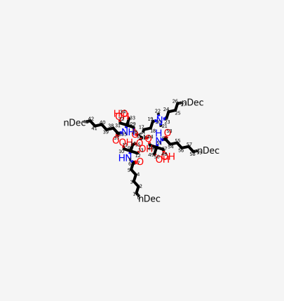 CCCCCCCCCCCCCCCC(=O)NC(CO)(CO)CO[Si](CCC[N+](C)(C)CCCCCCCCCCCCCC)(OCC(CO)(CO)NC(=O)CCCCCCCCCCCCCCC)OCC(CO)(CO)NC(=O)CCCCCCCCCCCCCCC